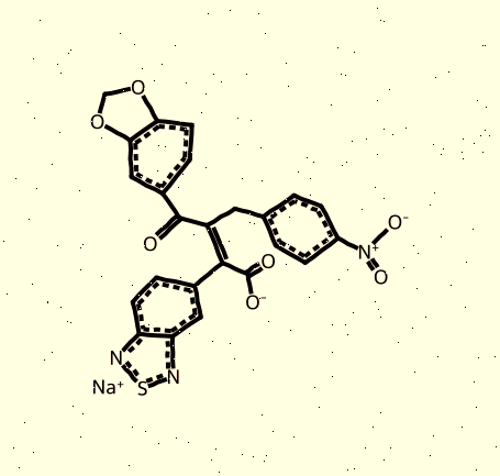 O=C([O-])C(=C(Cc1ccc([N+](=O)[O-])cc1)C(=O)c1ccc2c(c1)OCO2)c1ccc2nsnc2c1.[Na+]